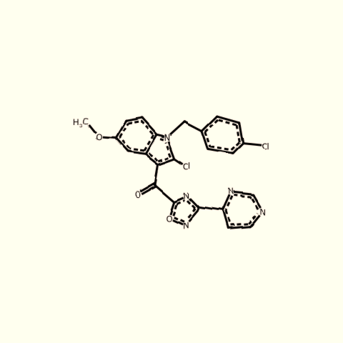 COc1ccc2c(c1)c(C(=O)c1nc(-c3ccncn3)no1)c(Cl)n2Cc1ccc(Cl)cc1